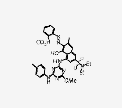 CCN(CC)S(=O)(=O)c1cc(Nc2nc(Nc3ccc(C)cc3)nc(OC)n2)c2c(O)c(N=Nc3ccccc3C(=O)O)c(C)cc2c1